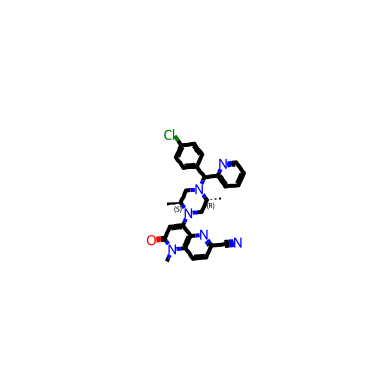 C[C@@H]1CN(c2cc(=O)n(C)c3ccc(C#N)nc23)[C@@H](C)CN1C(c1ccc(Cl)cc1)c1ccccn1